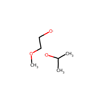 CC(C)[O].COCC[O]